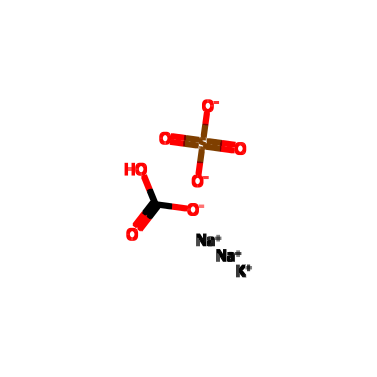 O=C([O-])O.O=S(=O)([O-])[O-].[K+].[Na+].[Na+]